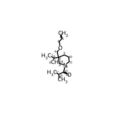 C=CCOCC1(C(C)C)CCCN(C(=O)C(C)C)C1